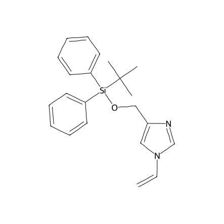 C=Cn1cnc(CO[Si](c2ccccc2)(c2ccccc2)C(C)(C)C)c1